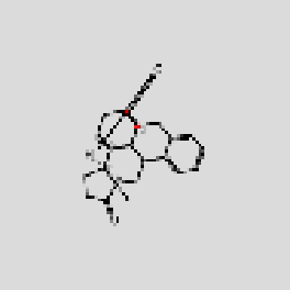 C[C@]12CC3c4ccccc4C[C@]45CCC(=O)C=C4CC[C@H](C35)[C@@H]1CCC2=O